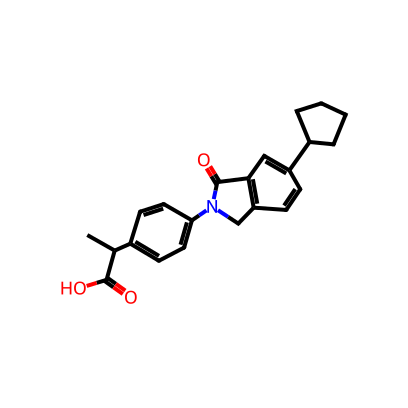 CC(C(=O)O)c1ccc(N2Cc3ccc(C4CCCC4)cc3C2=O)cc1